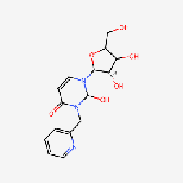 O=C1C=CN(C2OC(CO)C(O)[C@@H]2O)C(O)N1Cc1ccccn1